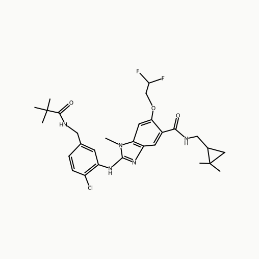 Cn1c(Nc2cc(CNC(=O)C(C)(C)C)ccc2Cl)nc2cc(C(=O)NCC3CC3(C)C)c(OCC(F)F)cc21